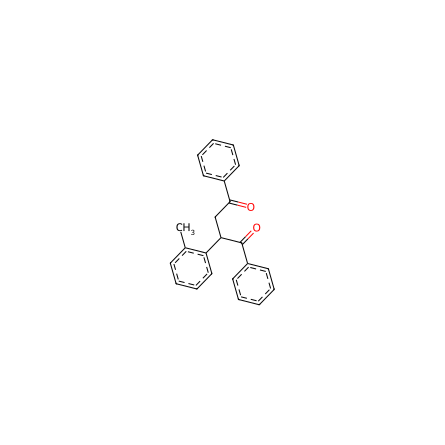 Cc1ccccc1C(CC(=O)c1ccccc1)C(=O)c1ccccc1